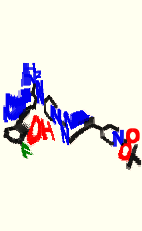 CC(C)(C)OC(=O)N1CCC(c2cnc(N3CCC(n4nc(N)c5nnc(-c6cccc(F)c6O)cc54)CC3)nc2)CC1